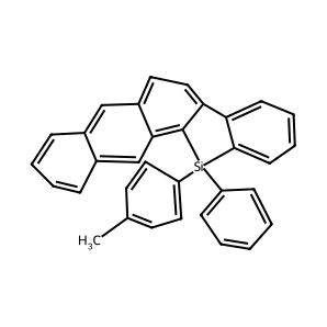 Cc1ccc([Si]2(c3ccccc3)c3ccccc3-c3ccc4cc5ccccc5cc4c32)cc1